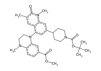 COC(=O)c1ccc2c(c1)N(c1cc(C3CCN(C(=O)OC(C)(C)C)CC3)cc3c1cc(C)c(=O)n3C)CCN2C